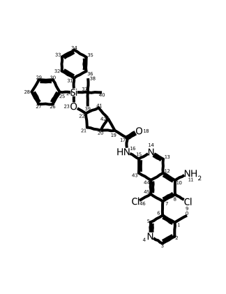 Cc1ccncc1-c1c(Cl)c(N)c2cnc(NC(=O)C3C4CC(O[Si](c5ccccc5)(c5ccccc5)C(C)(C)C)CC43)cc2c1Cl